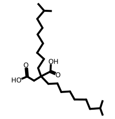 CC(C)CCCCCCCC(CCCCCCCC(C)C)(CC(=O)O)C(=O)O